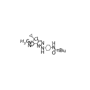 CCCCC(=O)N[C@H]1CC[C@H](Nc2ncc(Cl)c(-c3cnn(C)c3CC3CC3)n2)CC1